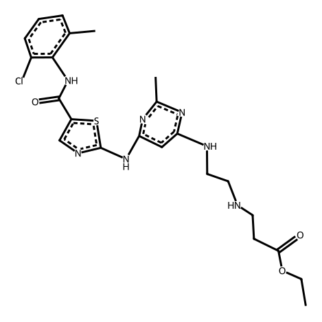 CCOC(=O)CCNCCNc1cc(Nc2ncc(C(=O)Nc3c(C)cccc3Cl)s2)nc(C)n1